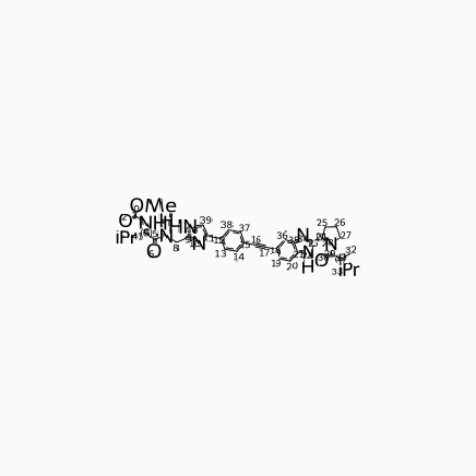 COC(=O)N[C@H](C(=O)NCc1nc(-c2ccc(C#Cc3ccc4[nH]c([C@@H]5CCCN5C(=O)[C@@H](C)C(C)C)nc4c3)cc2)c[nH]1)C(C)C